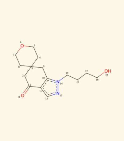 O=C1CC2(CCOCC2)Cc2c1cnn2CCCCO